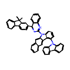 CC1(C)c2ccccc2-c2ccc(-c3nc(-n4c5cc6ccccc6cc5c5c(-n6c7ccccc7c7ccccc76)cccc54)nc4ccccc34)cc21